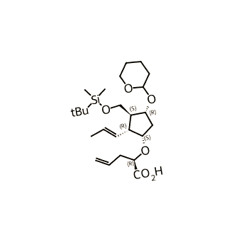 C=CC[C@@H](O[C@H]1C[C@@H](OC2CCCCO2)[C@H](CO[Si](C)(C)C(C)(C)C)[C@H]1C=CC)C(=O)O